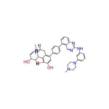 CN1CCN(c2cccc(Nc3ncc4c(-c5ccc(-c6cc(O)c7c8c6C[C@@H]6[C@@H]9C=C[C@H](O)[C@H](O7)[C@]89CCN6C)cc5)cccc4n3)c2)CC1